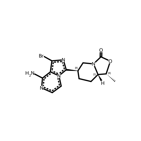 C[C@H]1OC(=O)N2C[C@H](c3nc(Br)c4c(N)nccn34)CC[C@@H]12